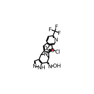 O=S(=O)(c1ccc(C(F)(F)F)nc1)N1C2/C(=N\O)c3[nH]ncc3C1c1cccc(Cl)c12